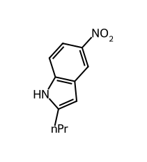 CCCc1cc2cc([N+](=O)[O-])ccc2[nH]1